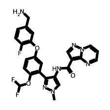 Cn1cc(NC(=O)c2cnn3cccnc23)c(-c2cc(Oc3cc(CN)ccc3F)ccc2OC(F)F)n1